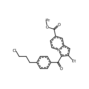 CCc1cc2cc(C(=O)OC(C)C)ccn2c1C(=O)c1ccc(CCCCl)cc1